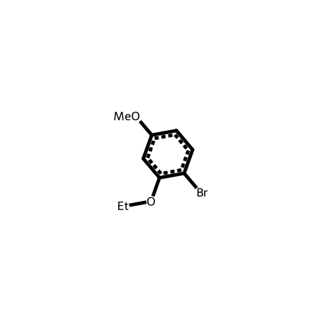 CCOc1cc(OC)ccc1Br